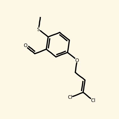 CSc1ccc(OCC=C(Cl)Cl)cc1C=O